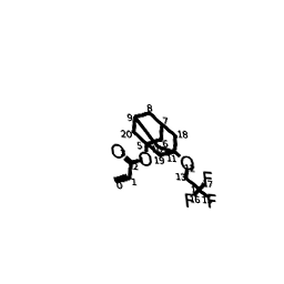 C=CC(=O)OC12CC3CC(CC(OCC(F)(F)F)(C3)C1)C2